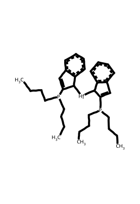 CCCCP(CCCC)C1=Cc2ccccc2[CH]1[Hf][CH]1C(P(CCCC)CCCC)=Cc2ccccc21